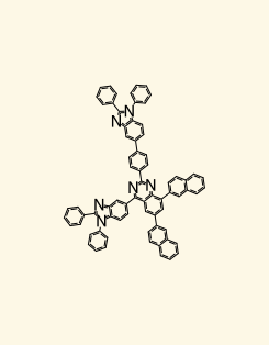 c1ccc(-c2nc3cc(-c4ccc(-c5nc(-c6ccc7c(c6)nc(-c6ccccc6)n7-c6ccccc6)c6cc(-c7ccc8ccccc8c7)cc(-c7ccc8ccccc8c7)c6n5)cc4)ccc3n2-c2ccccc2)cc1